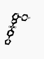 O=S(=O)(c1ccc(N2CCCC2)cc1)c1cc2c(N3CCNCC3)nccc2s1